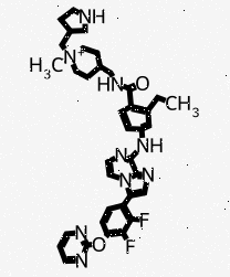 CCc1cc(Nc2nccn3c(-c4ccc(Oc5ncccn5)c(F)c4F)cnc23)ccc1C(=O)NCC1CC[N+](C)(CC2CCNC2)CC1